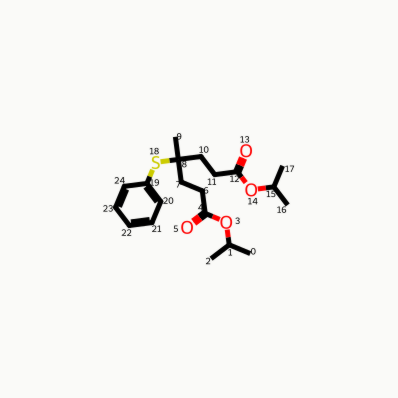 CC(C)OC(=O)CCC(C)(CCC(=O)OC(C)C)Sc1ccccc1